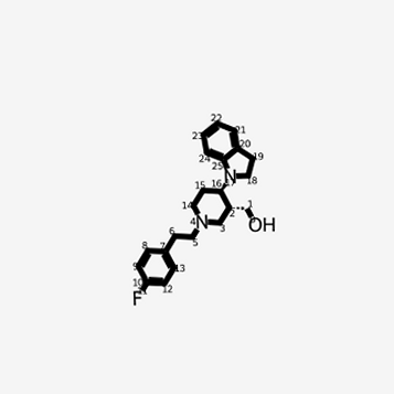 OC[C@@H]1CN(CCc2ccc(F)cc2)CC[C@H]1N1CCc2ccccc21